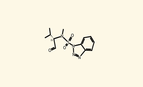 CC(C)[C@@H](C=O)N(C)S(=O)(=O)n1nnc2ccccc21